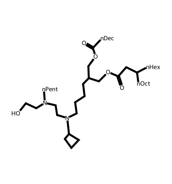 CCCCCCCCCCC(=O)OCC(CCCCN(CCN(CCO)CCCCC)C1CCC1)COC(=O)CC(CCCCCC)CCCCCCCC